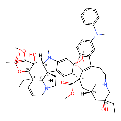 CC[C@]1(O)C[C@H]2CN(CCC3=C(Bc4ccc(N(C)c5ccccc5)cc43)[C@@](C(=O)OC)(C3C=C4C(=CC3OC)N(C)[C@H]3[C@@](O)(C(=O)OC)[C@H](OC(C)=O)[C@]5(CC)C=CCN6CC[C@]43[C@@H]65)C2)C1